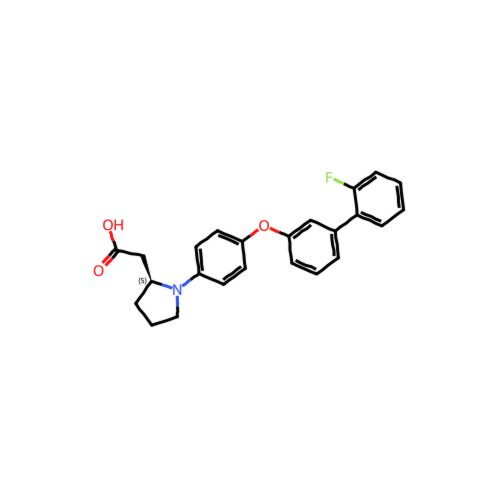 O=C(O)C[C@@H]1CCCN1c1ccc(Oc2cccc(-c3ccccc3F)c2)cc1